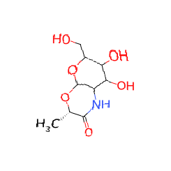 C[C@@H]1OC2OC(CO)C(O)C(O)C2NC1=O